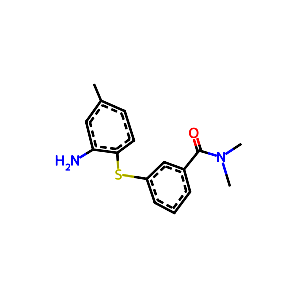 Cc1ccc(Sc2cccc(C(=O)N(C)C)c2)c(N)c1